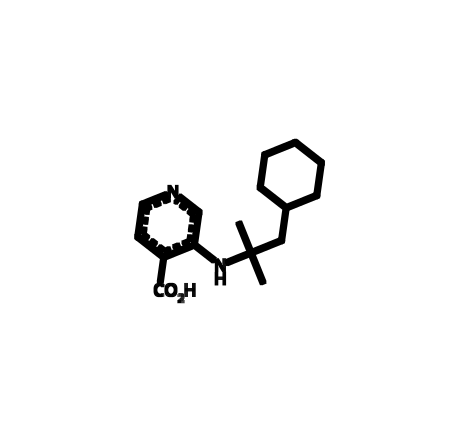 CC(C)(CC1CCCCC1)Nc1cnccc1C(=O)O